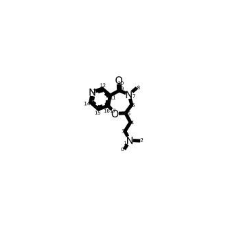 CN(C)CCC1CN(C)C(=O)c2cnccc2O1